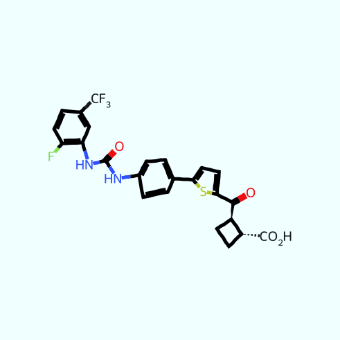 O=C(Nc1ccc(-c2ccc(C(=O)[C@@H]3CC[C@H]3C(=O)O)s2)cc1)Nc1cc(C(F)(F)F)ccc1F